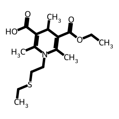 CCOC(=O)C1=C(C)N(CCSCC)C(C)=C(C(=O)O)C1C